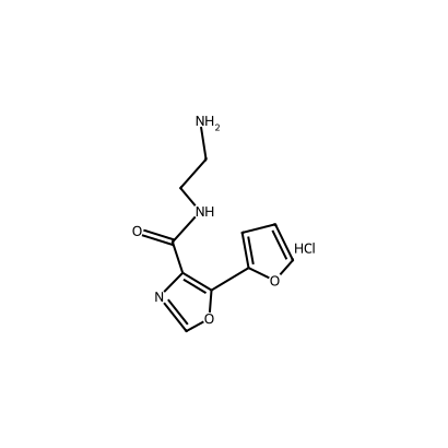 Cl.NCCNC(=O)c1ncoc1-c1ccco1